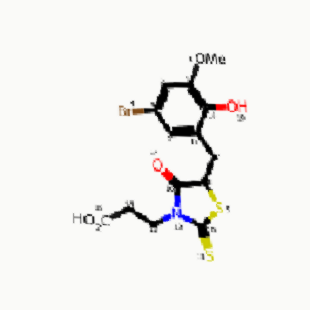 COc1cc(Br)cc(CC2SC(=S)N(CCC(=O)O)C2=O)c1O